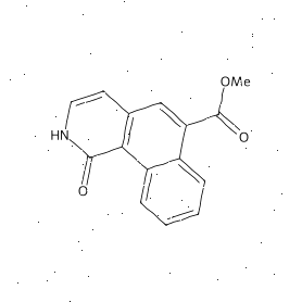 COC(=O)c1cc2cc[nH]c(=O)c2c2ccccc12